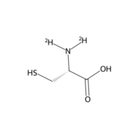 [2H]N([2H])[C@@H](CS)C(=O)O